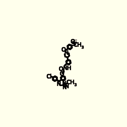 Cc1nnc2n1-c1ccc(OCC(=O)NCc3cccc(C4CCN(C(=O)c5ccc([S+](C)[O-])cc5)CC4)c3)cc1C(c1ccc(Cl)cc1)=NC2